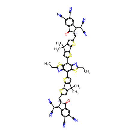 CCc1nc2c(-c3cc4c(s3)-c3sc(/C=C5\C(=O)c6cc(C#N)c(C#N)cc6C5=C(C#N)C#N)cc3C4(C)C)c3sc(CC)nc3c(-c3cc4c(s3)-c3sc(/C=C5\C(=O)c6cc(C#N)c(C#N)cc6C5=C(C#N)C#N)cc3C4(C)C)c2s1